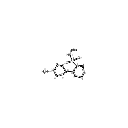 CCCCNS(=O)(=O)c1ccccc1-c1ccc(N)cc1